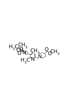 COC(=O)C1CCN(Cc2cc(C)c(C3CN(C(=O)OC(C)(C)C)C3)c(C)n2)CC1